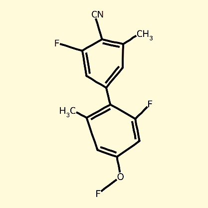 Cc1cc(-c2c(C)cc(OF)cc2F)cc(F)c1C#N